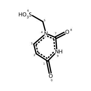 O=c1ccn(CS(=O)(=O)O)c(=O)[nH]1